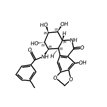 Cc1cccc(C(=O)N[C@H]2[C@H](O)[C@@H](O)[C@@H](O)[C@@H]3NC(=O)c4c(cc5c(c4O)OCO5)[C@@H]23)c1